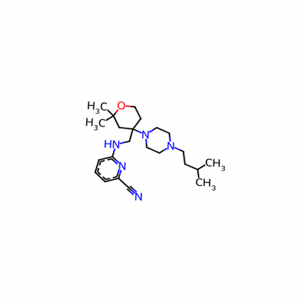 CC(C)CCN1CCN(C2(CNc3cccc(C#N)n3)CCOC(C)(C)C2)CC1